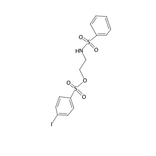 O=S(=O)(NCCOS(=O)(=O)c1ccc(I)cc1)c1ccccc1